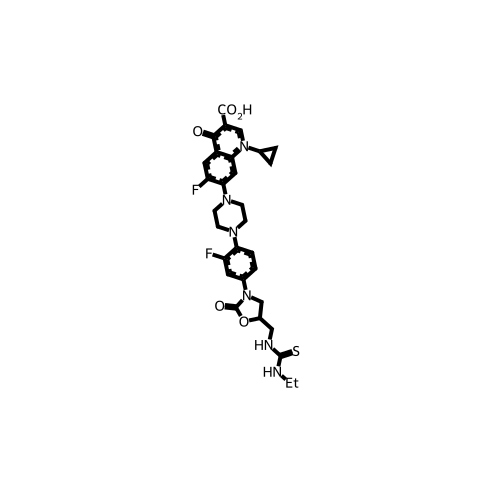 CCNC(=S)NCC1CN(c2ccc(N3CCN(c4cc5c(cc4F)c(=O)c(C(=O)O)cn5C4CC4)CC3)c(F)c2)C(=O)O1